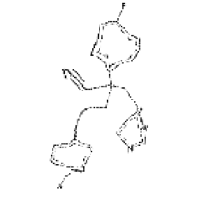 N#CC(CCc1ccc(Br)cc1)(Cn1cncn1)c1ccc(F)cc1